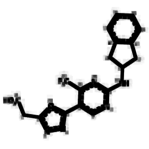 O=C(O)Cc1nnc(-c2cnc(NC3Cc4ccccc4C3)nc2C(F)(F)F)o1